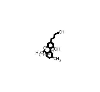 C#CCCCc1cc(O)c2c(c1)OC(=C)[C@@H]1CCC(C)=C[C@@H]21